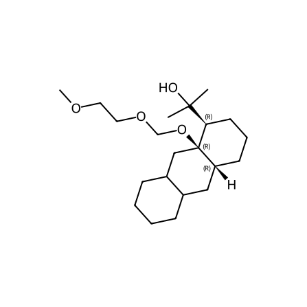 COCCOCO[C@]12CC3CCCCC3C[C@H]1CCC[C@@H]2C(C)(C)O